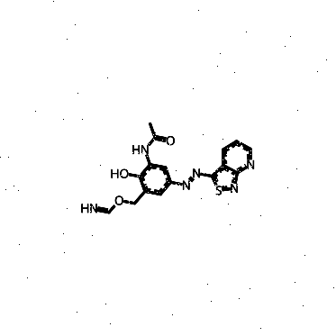 CC(=O)Nc1cc(/N=N/c2snc3ncccc23)cc(COC=N)c1O